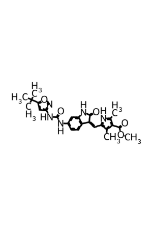 COC(=O)c1c(C)[nH]c(C=C2C(=O)Nc3cc(NC(=O)Nc4cc(C(C)(C)C)on4)ccc32)c1C